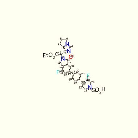 CCOC(=O)C(c1ncn2c1CCC2)N1Cc2c(F)cc(-c3ccc([C@H]4CCN(C(=O)O)C[C@@H]4F)cc3)cc2C1=O